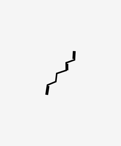 C=CC=CCCC=C